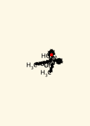 CCCCCCN1C(OCC(O)COCCCC)=NC(c2ccccc2O)N=C1c1ccccc1